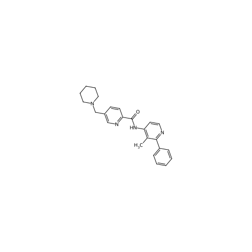 Cc1c(NC(=O)c2ccc(CN3CCCCC3)cn2)ccnc1-c1ccccc1